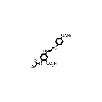 COc1ccc(OCCNc2ccc(OC(=O)C(C)=O)c(C(=O)O)c2)cc1